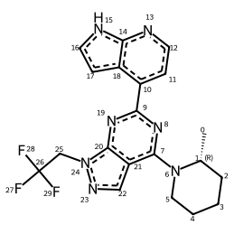 C[C@@H]1CCCCN1c1nc(-c2ccnc3[nH]ccc23)nc2c1cnn2CC(F)(F)F